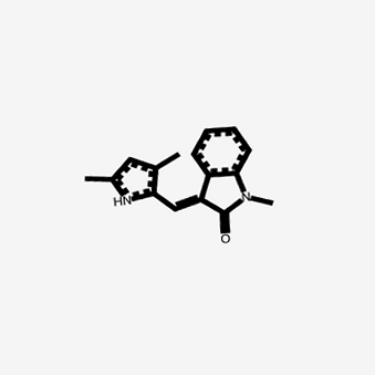 Cc1cc(C)c(C=C2C(=O)N(C)c3ccccc32)[nH]1